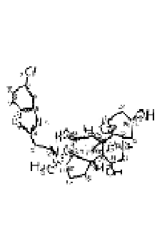 CC(CCc1nc2cc(Cl)ccc2s1)[C@H]1CC[C@H]2[C@@H]3[C@H](O)C[C@@H]4C[C@H](O)CC[C@]4(C)[C@H]3C[C@H](O)[C@]12C